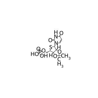 CC1(C)O[C@@H]2[C@H](O1)[C@@H](COP(=O)(O)O)S[C@H]2n1ccc(=O)[nH]c1=O